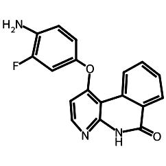 Nc1ccc(Oc2ccnc3[nH]c(=O)c4ccccc4c23)cc1F